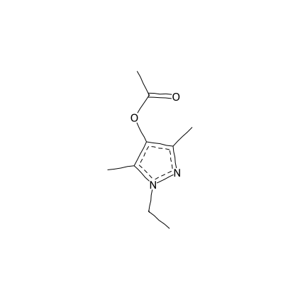 CCn1nc(C)c(OC(C)=O)c1C